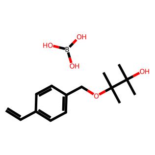 C=Cc1ccc(COC(C)(C)C(C)(C)O)cc1.OB(O)O